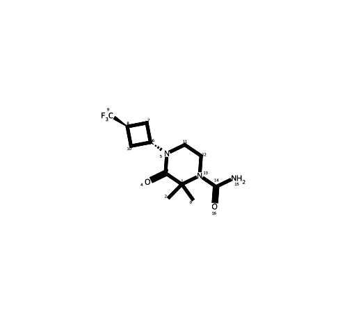 CC1(C)C(=O)N([C@H]2C[C@H](C(F)(F)F)C2)CCN1C(N)=O